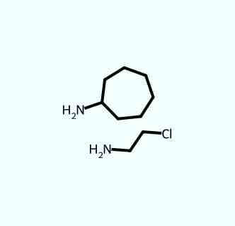 NC1CCCCCC1.NCCCl